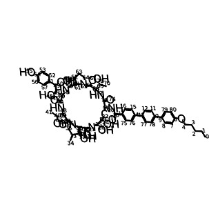 CCCCCOc1ccc(-c2ccc(-c3ccc(C(=O)N[C@@H]4C[C@@H](O)C(O)NC(=O)[C@@H]5C(O)C(C)CN5C(=O)[C@H](C(C)O)NC(=O)[C@H](C(O)C(O)c5ccc(O)cc5)NC(=O)[C@@H]5CCCN5C(=O)[C@H](C(C)O)NC4=O)cc3)cc2)cc1